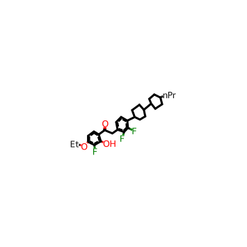 CCCC1CCC(C2CCC(c3ccc(CC(=O)c4ccc(OCC)c(F)c4O)c(F)c3F)CC2)CC1